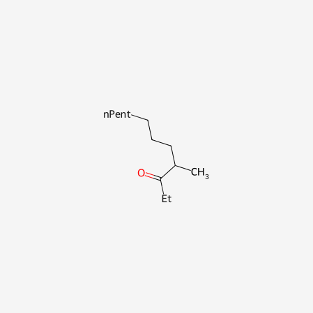 CCCCCCCCC(C)C(=O)CC